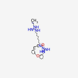 C/C=C/CNC(=N)NCCCCCCCCN1CCCC2=CCCC(=C2)COC2=C(CCCC2)CNC(=N)NC1=O